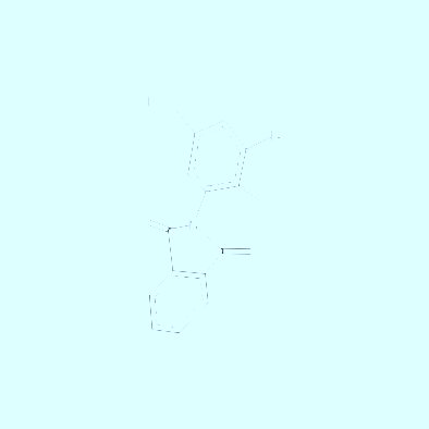 Cc1cc(Br)c(C=O)c(N2C(=O)c3ccccc3C2=O)c1